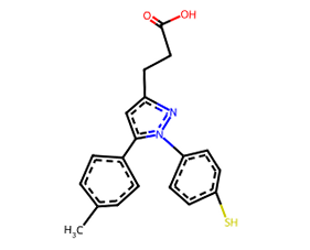 Cc1ccc(-c2cc(CCC(=O)O)nn2-c2ccc(S)cc2)cc1